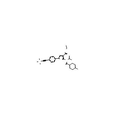 CCOC(=O)c1cc(-c2ccc(C#C[Si](C)(C)C)cc2)oc1N(C(=O)C1CCC(C)CC1)C(C)C